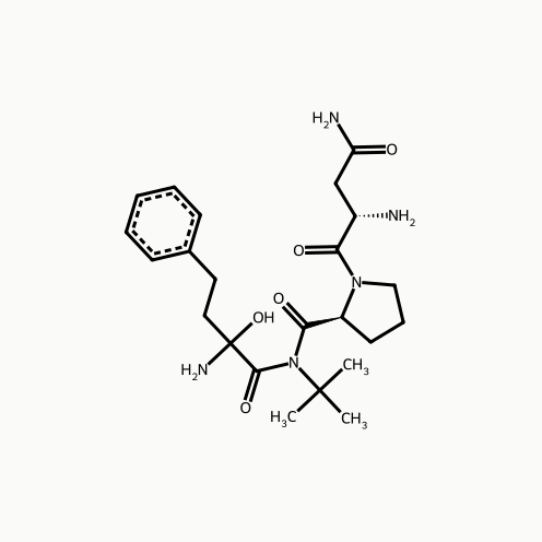 CC(C)(C)N(C(=O)[C@@H]1CCCN1C(=O)[C@@H](N)CC(N)=O)C(=O)C(N)(O)CCc1ccccc1